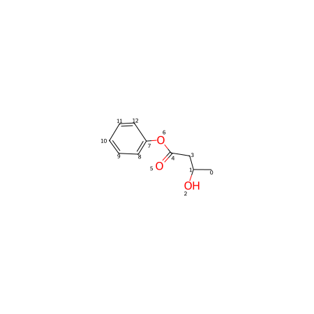 CC(O)CC(=O)Oc1ccccc1